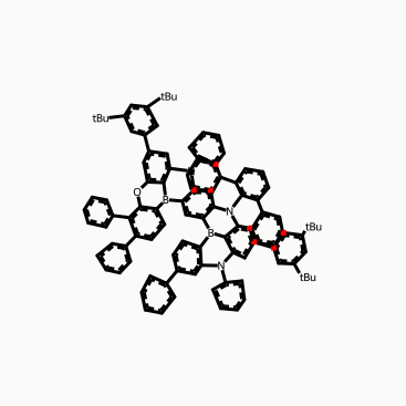 CC(C)(C)c1cc(-c2cc3c4c(c2)N(c2ccccc2)c2cc5c(cc2B4c2ccc(-c4ccccc4)c(-c4ccccc4)c2O3)B2c3ccc(-c4ccccc4)cc3N(c3ccccc3)c3cc(-c4cc(C(C)(C)C)cc(C(C)(C)C)c4)cc(c32)N5c2c(-c3ccccc3)cccc2-c2ccccc2)cc(C(C)(C)C)c1